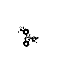 Cc1nc(S(=O)(=O)N(Cc2ccccc2)c2cccc(C(=O)O)c2)cn1C